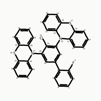 Fc1ccccc1-c1cc(N2c3ccccc3Sc3ccccc32)c(Cl)c(N2c3ccccc3Sc3ccccc32)c1